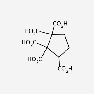 O=C(O)C1CCC(C(=O)O)(C(=O)O)C1(C(=O)O)C(=O)O